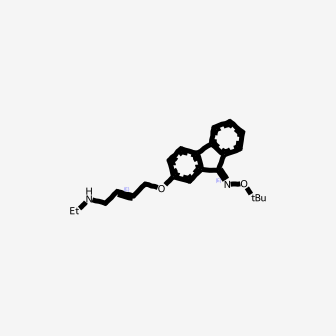 CCNC/C=C/COc1ccc2c(c1)/C(=N/OC(C)(C)C)c1ccccc1-2